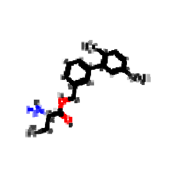 Cc1ccc(S(=O)(=O)O)cc1-c1cccc(COC(=O)[C@@H](N)CC(C)C)c1